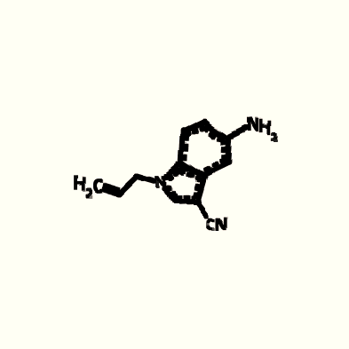 C=CCn1cc(C#N)c2cc(N)ccc21